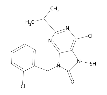 CC(C)c1nc(Cl)c2c(n1)n(Cc1ccccc1Cl)c(=O)n2S